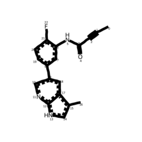 CC#CC(=O)Nc1cc(-c2cnc3[nH]cc(C)c3c2)ccc1F